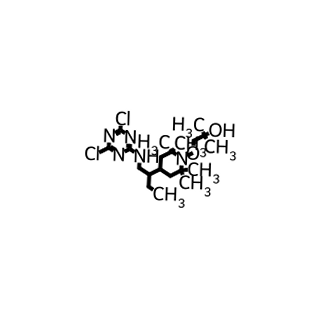 CCC(CNc1nc(Cl)nc(Cl)n1)C1CC(C)(C)N(OCC(C)(C)O)C(C)(C)C1